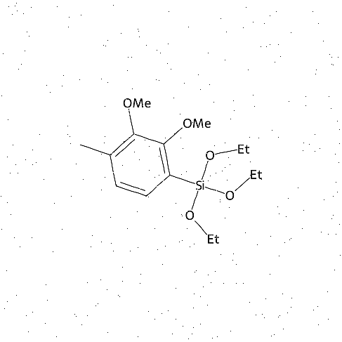 CCO[Si](OCC)(OCC)c1ccc(C)c(OC)c1OC